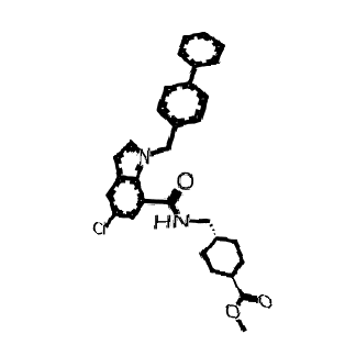 COC(=O)[C@H]1CC[C@H](CNC(=O)c2cc(Cl)cc3ccn(Cc4ccc(-c5ccccc5)cc4)c23)CC1